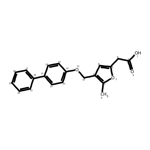 Cc1oc(CC(=O)O)cc1COc1ccc(-c2ccccc2)cc1